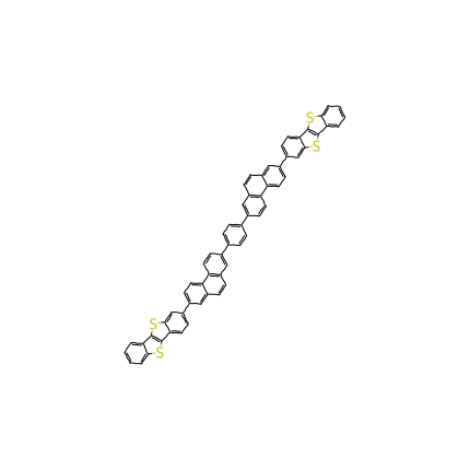 c1ccc2c(c1)sc1c3ccc(-c4ccc5c(ccc6cc(-c7ccc(-c8ccc9c(ccc%10cc(-c%11ccc%12c(c%11)sc%11c%13ccccc%13sc%12%11)ccc%109)c8)cc7)ccc65)c4)cc3sc21